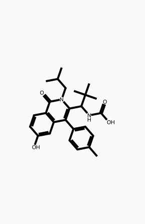 Cc1ccc(-c2c(C(NC(=O)O)C(C)(C)C)n(CC(C)C)c(=O)c3ccc(O)cc23)cc1